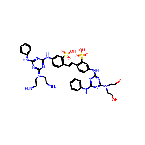 NCCN(CCN)c1nc(Nc2ccccc2)nc(Nc2ccc(/C=C/c3ccc(Nc4nc(Nc5ccccc5)nc(N(CCO)CCO)n4)cc3S(=O)(=O)O)c(S(=O)(=O)O)c2)n1